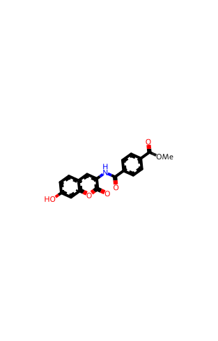 COC(=O)c1ccc(C(=O)Nc2cc3ccc(O)cc3oc2=O)cc1